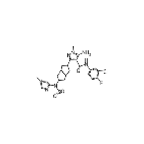 Cn1cnc(N(C2CC3CC(c4nn(C)c(N)c4C(=O)Nc4ccc(F)c(Cl)c4)CC3C2)[SH](=O)=O)c1